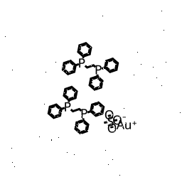 CS(=O)(=O)[O-].[Au+].c1ccc(P(CCP(c2ccccc2)c2ccccc2)c2ccccc2)cc1.c1ccc(P(CCP(c2ccccc2)c2ccccc2)c2ccccc2)cc1